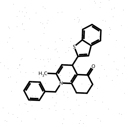 CC1=CC(c2cc3ccccc3s2)C2=C(CCCC2=O)N1Cc1ccccc1